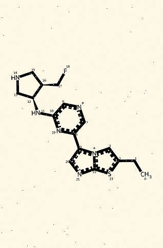 CCc1cn2c(-c3cncc(N[C@H]4CNC[C@H]4CF)n3)cnc2s1